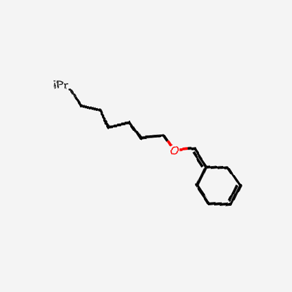 CC(C)CCCCCCO/C=C1/CC=CCC1